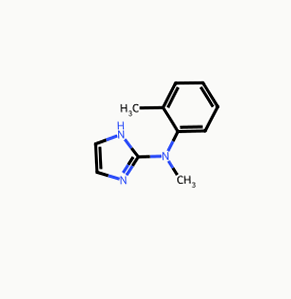 Cc1ccccc1N(C)c1ncc[nH]1